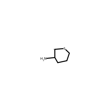 NC1[C]SCCC1